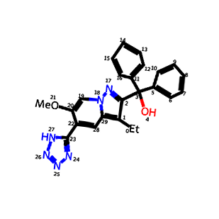 CCc1c(C(O)(c2ccccc2)c2ccccc2)nn2cc(OC)c(-c3nnn[nH]3)cc12